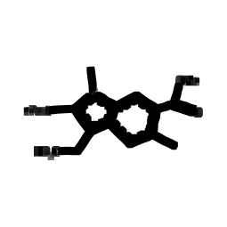 CCCCCc1c(CC(=O)O)c2cc(C)c(C(=O)OC)cc2n1C